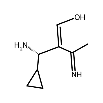 CC(=N)/C(=C\O)[C@@H](N)C1CC1